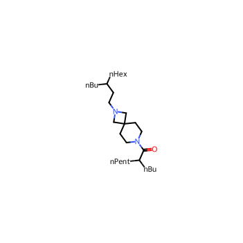 CCCCCCC(CCCC)CCN1CC2(CCN(C(=O)C(CCCC)CCCCC)CC2)C1